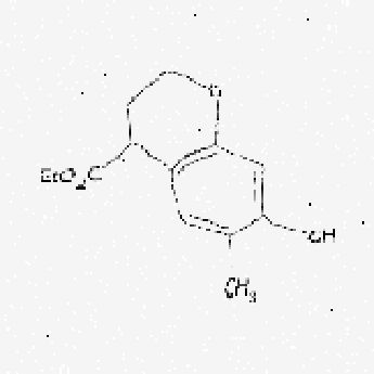 CCOC(=O)C1CCOc2cc(O)c(C)cc21